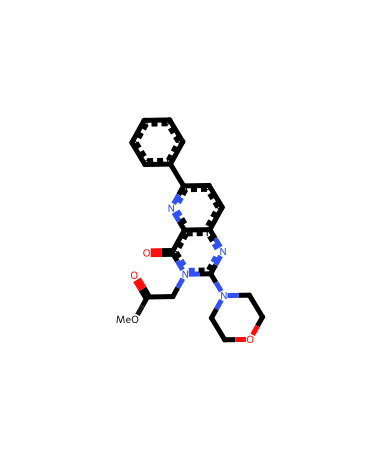 COC(=O)Cn1c(N2CCOCC2)nc2ccc(-c3ccccc3)nc2c1=O